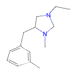 CCN1CC(Cc2cccc(C)c2)N(C)C1